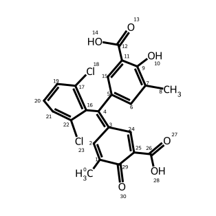 CC1=CC(=C(c2cc(C)c(O)c(C(=O)O)c2)c2c(Cl)cccc2Cl)C=C(C(=O)O)C1=O